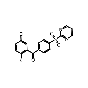 O=C(c1ccc(S(=O)(=O)c2ncccn2)cc1)c1cc(Cl)ccc1Cl